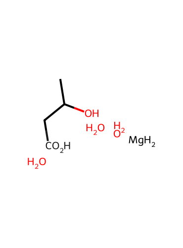 CC(O)CC(=O)O.O.O.O.[MgH2]